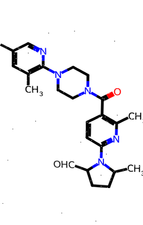 CCc1cnc(N2CCN(C(=O)c3ccc(N4C(C)CCC4C=O)nc3C)CC2)c(C)c1